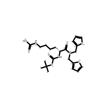 CC(C)(C)OC(=O)N[C@H](CCCCNC(=O)O)C(=O)N(Cc1cccs1)Cc1cccs1